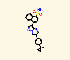 CC1(c2ccc(-c3cnc4c(-c5ccc(S(N)(=O)=O)c6ccccc56)cnn4c3)cc2)CC1